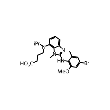 COc1cc(Br)cc(C)c1Nc1nc2cccc(N(CCCC(=O)O)C(C)C)c2n1C